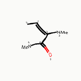 CC=C(NC)C(=O)NC